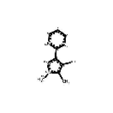 Cc1c(F)c(-c2ncccn2)nn1C